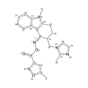 Cc1cc(C(=O)O/N=C2/c3c(n(C)c4ccccc34)CCC2Cn2ccnc2C)no1